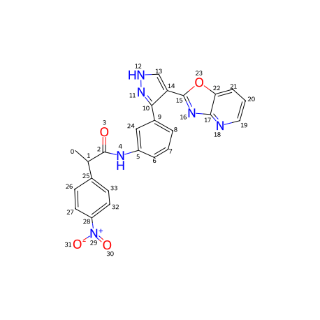 CC(C(=O)Nc1cccc(-c2n[nH]cc2-c2nc3ncccc3o2)c1)c1ccc([N+](=O)[O-])cc1